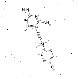 Cc1nc(N)nc(N)c1C#C[Si](C)(C)c1ccc(Cl)cc1